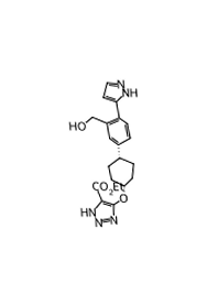 CCOC(=O)c1[nH]nnc1O[C@H]1CC[C@@H](c2ccc(-c3ccn[nH]3)c(CO)c2)CC1